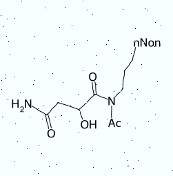 CCCCCCCCCCCCN(C(C)=O)C(=O)C(O)CC(N)=O